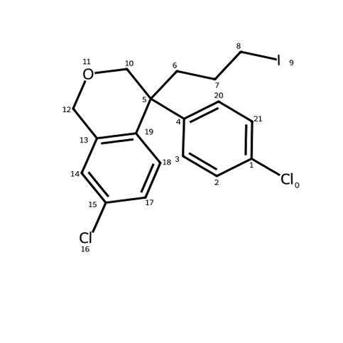 Clc1ccc(C2(CCCI)COCc3cc(Cl)ccc32)cc1